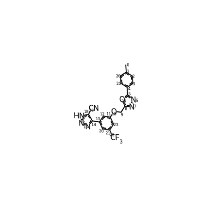 Cc1ccc(-c2nnc(COc3cc(-c4nn[nH]c4C#N)cc(C(F)(F)F)c3)o2)cc1